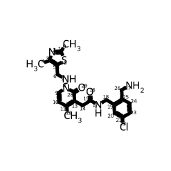 Cc1nc(C)c(CNn2ccc(C)c(CC(=O)NCc3cc(Cl)ccc3CN)c2=O)s1